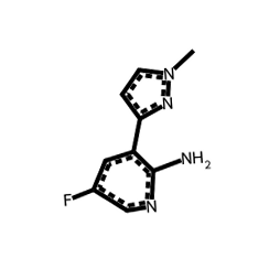 Cn1ccc(-c2cc(F)cnc2N)n1